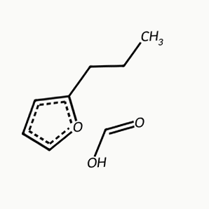 CCCc1ccco1.O=CO